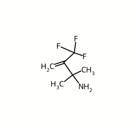 C=C(C(C)(C)N)C(F)(F)F